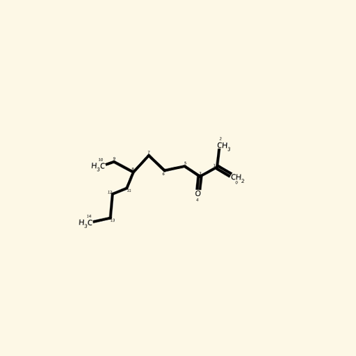 C=C(C)C(=O)CCCC(CC)CCCC